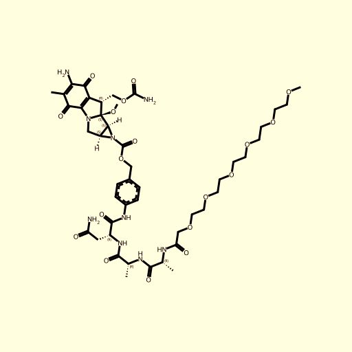 COCCOCCOCCOCCOCCOCC(=O)N[C@H](C)C(=O)N[C@H](C)C(=O)N[C@H](CC(N)=O)C(=O)Nc1ccc(COC(=O)N2[C@H]3[C@@H]2CN2C4=C(C(=O)C(N)=C(C)C4=O)[C@H](COC(N)=O)[C@]32OC)cc1